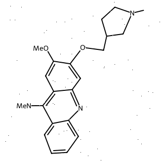 CNc1c2ccccc2nc2cc(OCC3CCN(C)C3)c(OC)cc12